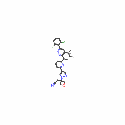 CC[C@H](C)c1cc(-c2c(F)cccc2F)nnc1C(C)c1cccc(-c2cnn(C3(CC#N)COC3)c2)n1